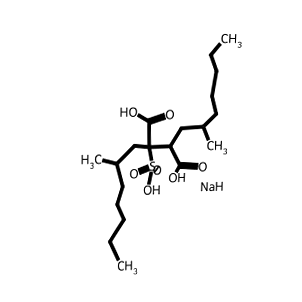 CCCCCC(C)CC(C(=O)O)C(CC(C)CCCCC)(C(=O)O)S(=O)(=O)O.[NaH]